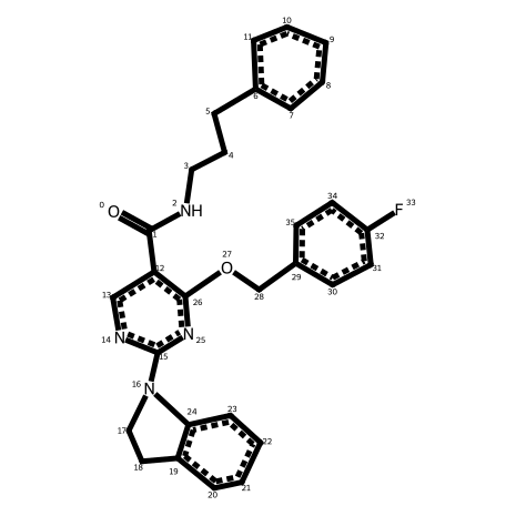 O=C(NCCCc1ccccc1)c1cnc(N2CCc3ccccc32)nc1OCc1ccc(F)cc1